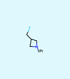 CCCN1CC(CF)C1